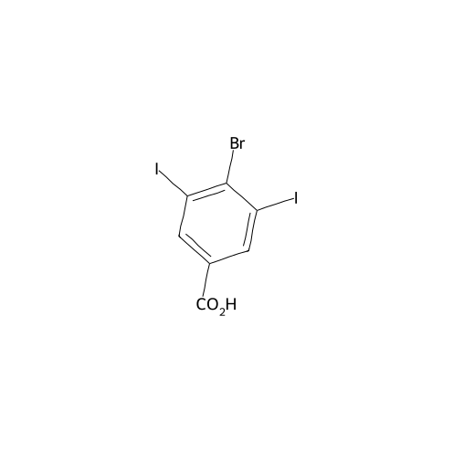 O=C(O)c1cc(I)c(Br)c(I)c1